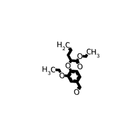 C=CCC(Oc1ccc(C=O)cc1OCC)C(=O)OCC